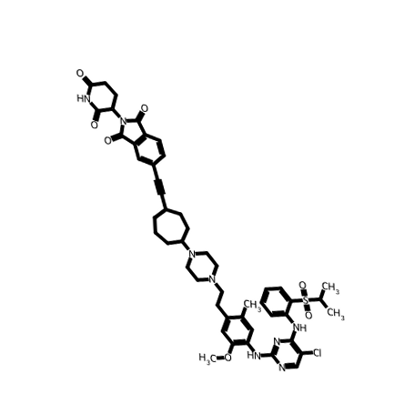 COc1cc(CCN2CCN(C3CCCC(C#Cc4ccc5c(c4)C(=O)N(C4CCC(=O)NC4=O)C5=O)CC3)CC2)c(C)cc1Nc1ncc(Cl)c(Nc2ccccc2S(=O)(=O)C(C)C)n1